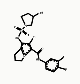 O=C(Nc1ccc(F)c(F)c1)c1c(Cl)c(NS(=O)(=O)N2CCC(O)C2)c2n1CCC2